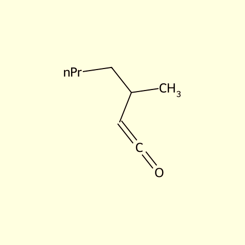 CCCCC(C)C=C=O